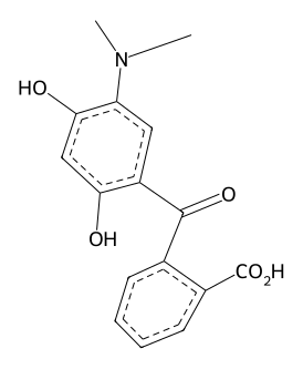 CN(C)c1cc(C(=O)c2ccccc2C(=O)O)c(O)cc1O